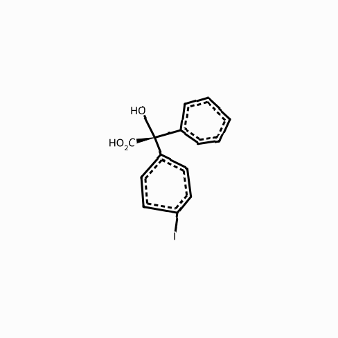 O=C(O)[C@@](O)(c1ccccc1)c1ccc(I)cc1